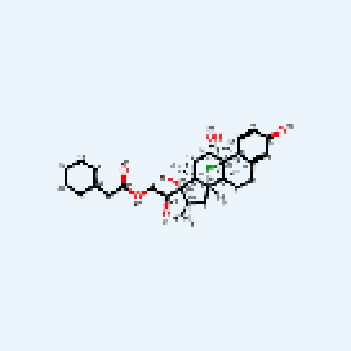 C[C@@H]1C[C@H]2[C@@H]3CCC4=CC(=O)C=C[C@]4(C)[C@@]3(F)[C@@H](O)C[C@]2(C)[C@@]1(O)C(=O)COC(=O)CC1CCCCC1